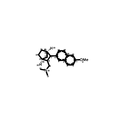 COc1ccc2cc(C3C(CN(C)C)[C@H]4CC[C@@H]3C4)ccc2c1